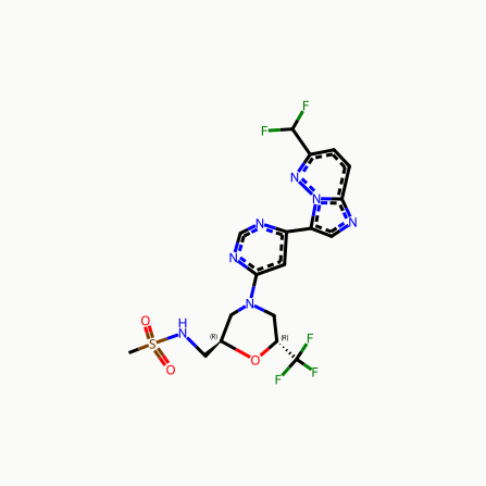 CS(=O)(=O)NC[C@H]1CN(c2cc(-c3cnc4ccc(C(F)F)nn34)ncn2)C[C@H](C(F)(F)F)O1